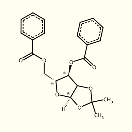 CC1(C)OC2[C@H](O[C@H](COC(=O)c3ccccc3)[C@H]2OC(=O)c2ccccc2)O1